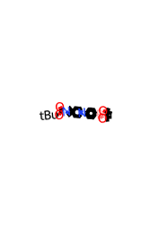 CC(C)(C)OC(=O)N1CC2(CCN(c3ccc(B4OC(C)(C)C(C)(C)O4)cc3)CC2)C1